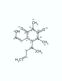 C=CCN(C)c1c(/C=N\O)c(=O)n(C)c(=O)n1C